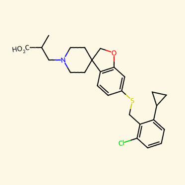 CC(CN1CCC2(CC1)COc1cc(SCc3c(Cl)cccc3C3CC3)ccc12)C(=O)O